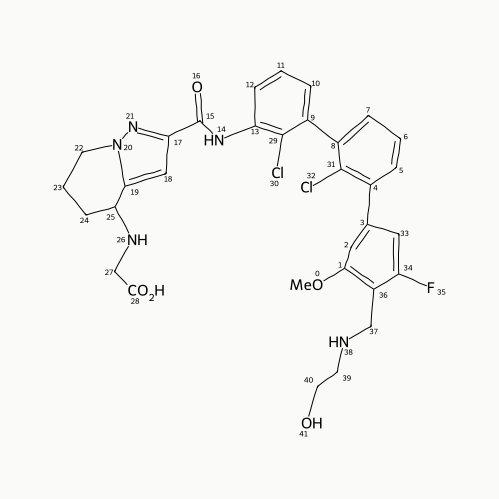 COc1cc(-c2cccc(-c3cccc(NC(=O)c4cc5n(n4)CCCC5NCC(=O)O)c3Cl)c2Cl)cc(F)c1CNCCO